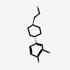 [Li][CH2]C[C@H]1CC[C@H](c2ccc(F)c(F)c2)CC1